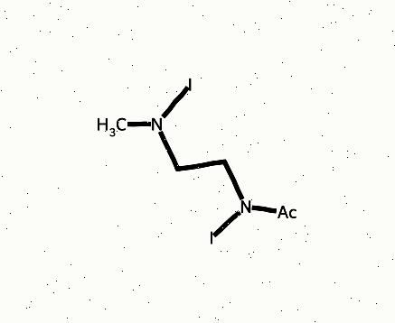 CC(=O)N(I)CCN(C)I